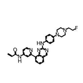 C=CC(=O)Nc1ccnc(-c2cccc3cnc(Nc4ccc(N5CCN(CCF)CC5)cc4)nc23)c1